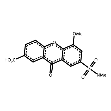 CNS(=O)(=O)c1cc(OC)c2oc3ccc(C(=O)O)cc3c(=O)c2c1